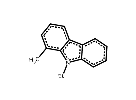 CCn1c2ccccc2c2cccc(C)c21